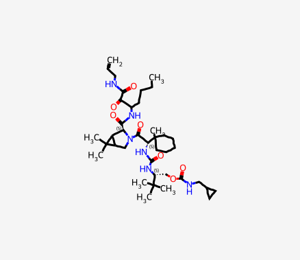 C=CCNC(=O)C(=O)C(CCCC)NC(=O)[C@@H]1C2C(CN1C(=O)[C@@H](NC(=O)N[C@H](COC(=O)NCC1CC1)C(C)(C)C)C1(C)CCCCC1)C2(C)C